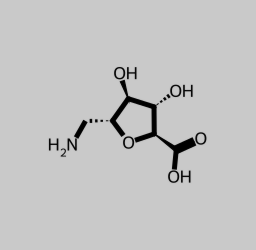 NC[C@H]1O[C@H](C(=O)O)[C@@H](O)[C@@H]1O